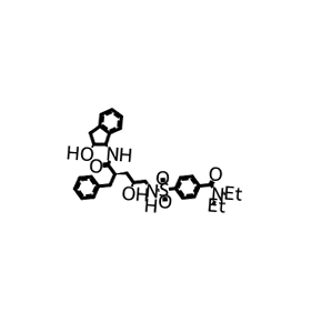 CCN(CC)C(=O)c1ccc(S(=O)(=O)NC[C@@H](O)C[C@@H](Cc2ccccc2)C(=O)N[C@H]2c3ccccc3C[C@H]2O)cc1